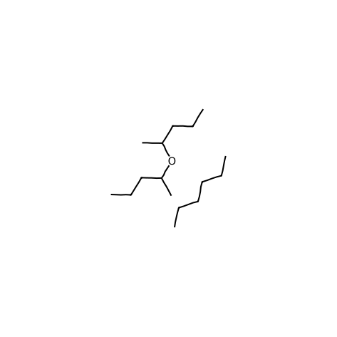 CCCC(C)OC(C)CCC.CCCCCC